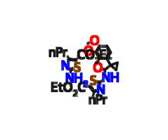 CCCc1nc(N)sc1C(=O)OCC.CCCc1nc(NC(=O)C2(c3ccc4c(c3)OCO4)CC2)sc1C(=O)OCC